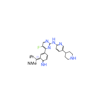 CN/C(=C1/C=C(c2nc(Nc3ccc(C4CCNCC4)cn3)ncc2F)C=CC1=N)C(C)C